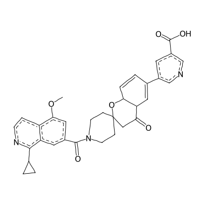 COc1cc(C(=O)N2CCC3(CC2)CC(=O)C2C=C(c4cncc(C(=O)O)c4)C=CC2O3)cc2c(C3CC3)nccc12